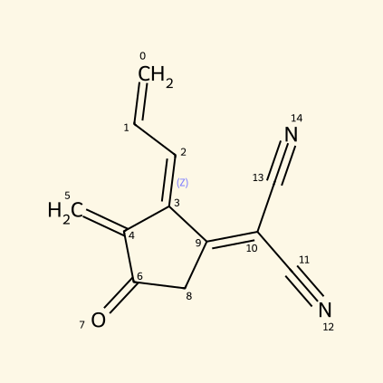 C=C/C=C1\C(=C)C(=O)CC1=C(C#N)C#N